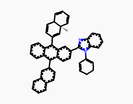 C[C@@]12C=CC=CC1C=CC(c1c3ccccc3c(-c3ccc4ccccc4c3)c3ccc(-c4nc5ccccc5n4C4=CCCC=C4)cc13)=C2